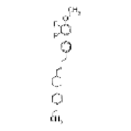 CCCc1ccc(C2CCC(C=CCCc3ccc(-c4ccc(OCC)c(F)c4F)cc3)CC2)cc1